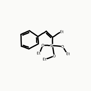 CCO[Si](OCC)(OCC)C(=Cc1ccccc1)CC